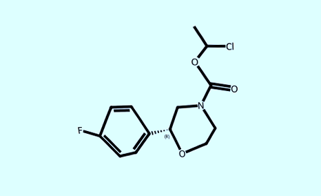 CC(Cl)OC(=O)N1CCO[C@H](c2ccc(F)cc2)C1